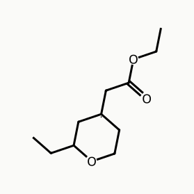 CCOC(=O)C[C]1CCOC(CC)C1